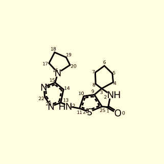 O=C1NC2(CCCCC2)c2cc(Nc3cc(N4CCCC4)ncn3)sc21